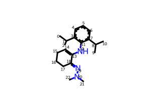 CC(C)c1cccc(C(C)C)c1NC1=CCCCC1=NN(C)C